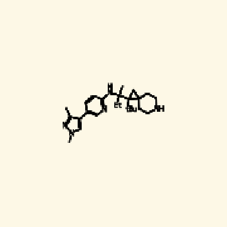 CCC(C)(Nc1ccc(-c2cn(C)nc2C)cn1)C1(C(C)(C)C)CC12CCNCC2